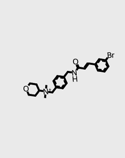 C[N+](C)(Cc1ccc(CNC(=O)/C=C/c2cccc(Br)c2)cc1)C1CCOCC1